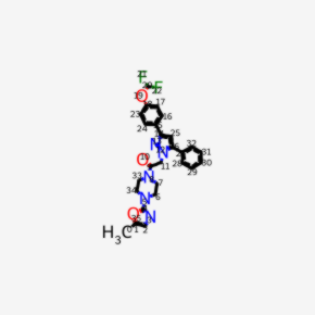 Cc1cnc(N2CCN(C(=O)Cn3nc(-c4ccc(OC(F)F)cc4)cc3-c3ccccc3)CC2)o1